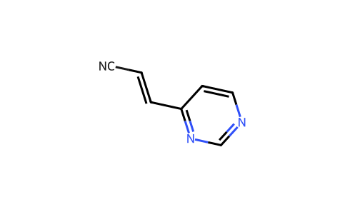 N#CC=Cc1ccncn1